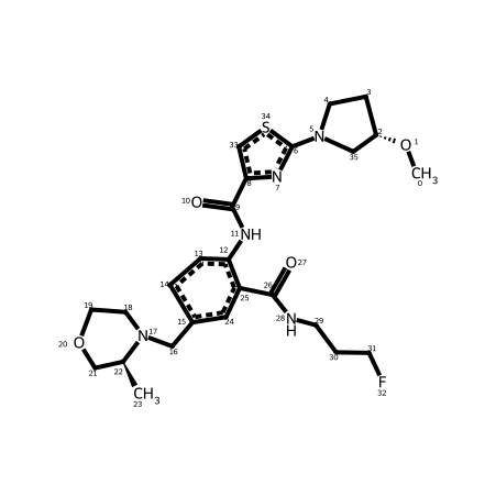 CO[C@H]1CCN(c2nc(C(=O)Nc3ccc(CN4CCOC[C@@H]4C)cc3C(=O)NCCCF)cs2)C1